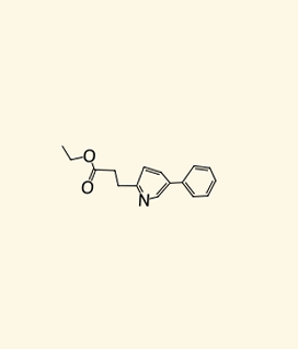 CCOC(=O)CCc1ccc(-c2ccccc2)cn1